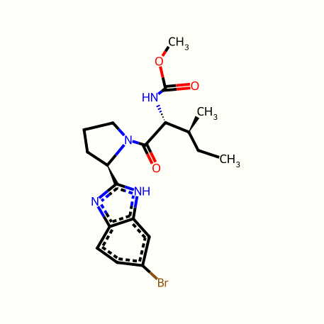 CC[C@H](C)[C@@H](NC(=O)OC)C(=O)N1CCC[C@@H]1c1nc2ccc(Br)cc2[nH]1